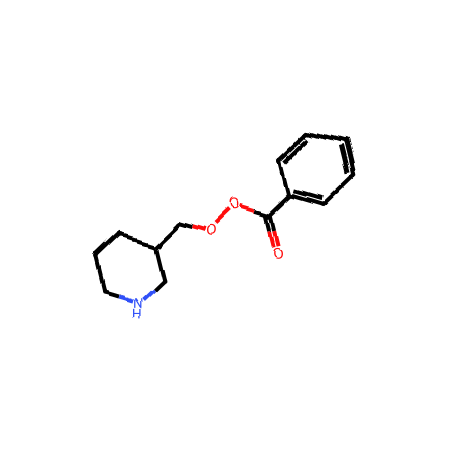 O=C(OOCC1CCCNC1)c1ccccc1